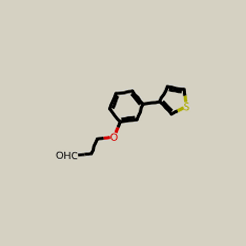 O=CCCOc1cccc(-c2ccsc2)c1